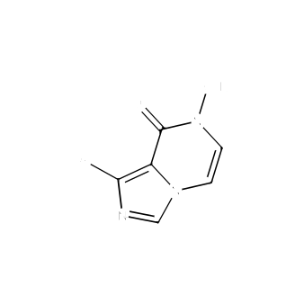 Cn1ccn2cnc(Br)c2c1=O